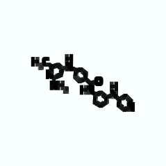 Cc1cc(Nc2ccc(C(=O)Nc3cccc(Nc4ccncc4)c3)cc2)cc(N)n1